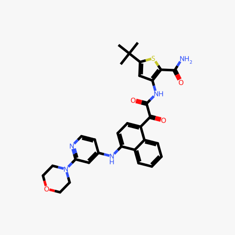 CC(C)(C)c1cc(NC(=O)C(=O)c2ccc(Nc3ccnc(N4CCOCC4)c3)c3ccccc23)c(C(N)=O)s1